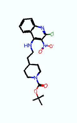 CC(C)(C)OC(=O)N1CCC(CCNc2c([N+](=O)[O-])c(Cl)nc3ccccc23)CC1